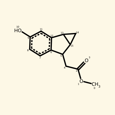 COC(=O)CC1c2ccc(O)cc2C2CC12